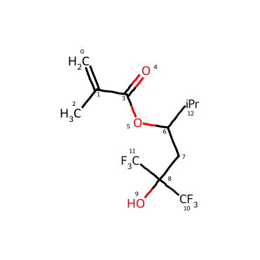 C=C(C)C(=O)OC(CC(O)(C(F)(F)F)C(F)(F)F)C(C)C